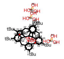 CC(C)(C)c1cc2c(c(C(C)(C)C)c1)OC1(c3c(cc(C(C)(C)C)cc3C(C)(C)C)C2)c2c(cc(C(C)(C)C)cc2C(C)(C)C)Cc2cc(C(C)(C)C)cc(C(C)(C)C)c2C1(O)C1(O)c2c(cc(C(C)(C)C)cc2C(C)(C)C)Cc2cc(C(C)(C)C)cc(C(C)(C)C)c21.OP(O)O.OP(O)O.OP(O)O